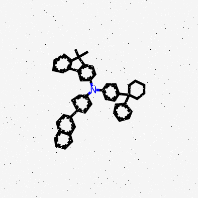 CC1(C)c2ccccc2-c2cc(N(c3ccc(-c4ccc5ccccc5c4)cc3)c3ccc(C4(c5ccccc5)CCCCC4)cc3)ccc21